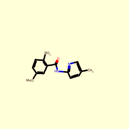 COc1ccc([N+](=O)[O-])c(C(=O)Nc2ccc(C)cn2)c1